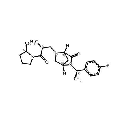 C[C@H](c1ccc(F)cc1)N1C(=O)[C@@H]2C[C@H]1CN2C[C@H](C)C(=O)N1CCC[C@H]1C#N